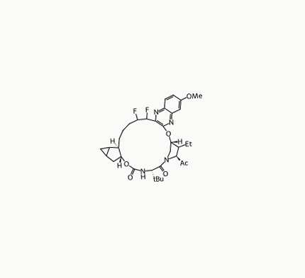 CCC1[C@@H]2CN(C(=O)[C@H](C(C)(C)C)NC(=O)O[C@@H]3CC4CC4[C@H]3CCCC(F)C(F)c3nc4ccc(OC)cc4nc3O2)[C@@H]1C(C)=O